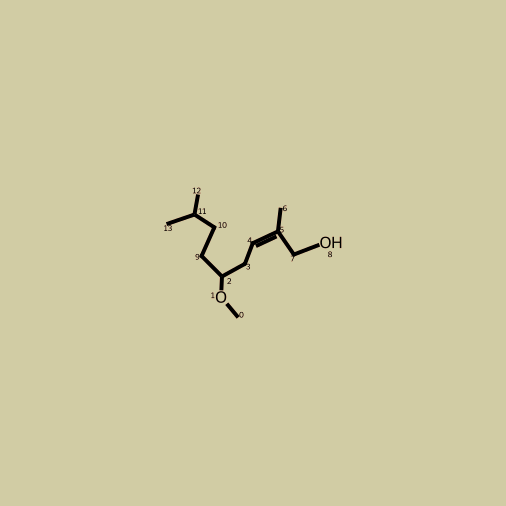 COC(CC=C(C)CO)CCC(C)C